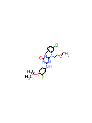 COCCNc1nc(Nc2ccc(OC(C)C)c(F)c2)nc(=O)n1Cc1ccc(Cl)cc1